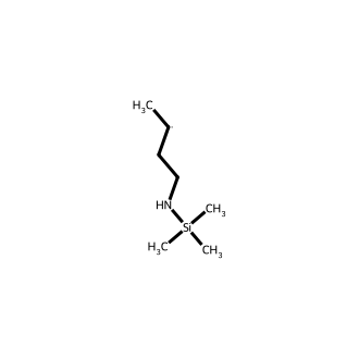 C[CH]CCN[Si](C)(C)C